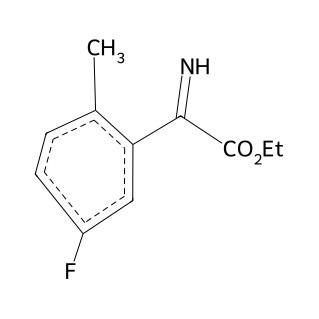 CCOC(=O)C(=N)c1cc(F)ccc1C